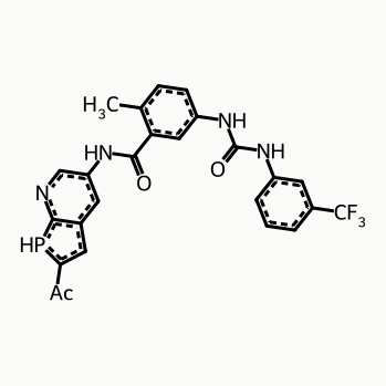 CC(=O)c1cc2cc(NC(=O)c3cc(NC(=O)Nc4cccc(C(F)(F)F)c4)ccc3C)cnc2[pH]1